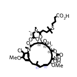 COc1cc2cc(c1Cl)N(C)C(=O)C[C@H](OC(=O)[C@H](C)N(C)C(=O)CCC(C)(C)SCCCC(=O)O)[C@]1(C)O[C@H]1[C@H](C)[C@@H]1C[C@@](O)(NC(=O)O1)[C@H](OC)/C=C/C=C(\C)C2